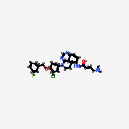 CN(C)C/C=C/C(=O)Nc1ccc2ncnc3c2c1CCN3c1ccc(OCc2cccc(F)c2)c(Cl)c1